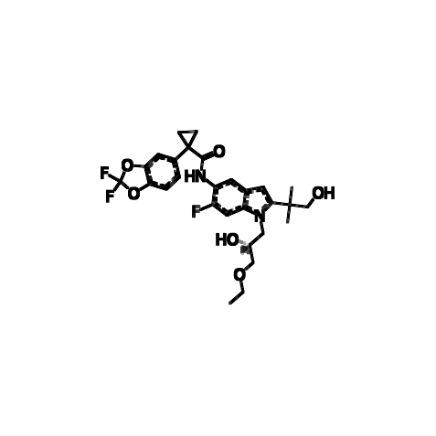 CCOC[C@H](O)Cn1c(C(C)(C)CO)cc2cc(NC(=O)C3(c4ccc5c(c4)OC(F)(F)O5)CC3)c(F)cc21